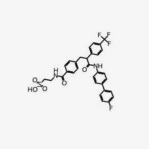 O=C(NCCS(=O)(=O)O)c1ccc(CC(C(=O)Nc2ccc(-c3ccc(F)cc3)cc2)c2ccc(C(F)(F)F)cc2)cc1